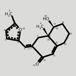 Cc1ccc(/C=C2\C[C@@]3(C)C(=CC2=O)CCC[C@@H]3O)o1